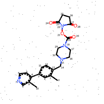 Cc1cc(-c2ccncc2C)ccc1CN1CCN(C(=O)ON2C(=O)CCC2=O)CC1